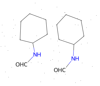 O=CNC1CCCCC1.O=CNC1CCCCC1